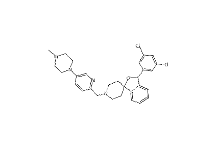 CN1CCN(c2ccc(CN3CCC4(CC3)OC(c3cc(Cl)cc(Cl)c3)c3ccccc34)nc2)CC1